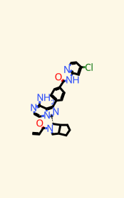 C=CC(=O)N1CC2CCCC2[C@H]1c1nc(-c2ccc(C(=O)Nc3cc(Cl)ccn3)cc2)c2c(N)nccn12